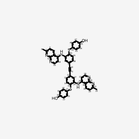 Cc1ccc2c(Nc3cc(C#Cc4ccc(Sc5ccc(O)cc5)c(Nc5ccnc6nc(C)ccc56)c4)ccc3Sc3ccc(O)cc3)ccnc2n1